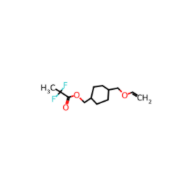 C=COCC1CCC(COC(=O)C(C)(F)F)CC1